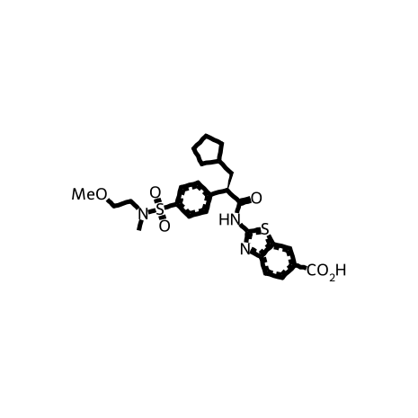 COCCN(C)S(=O)(=O)c1ccc([C@@H](CC2CCCC2)C(=O)Nc2nc3ccc(C(=O)O)cc3s2)cc1